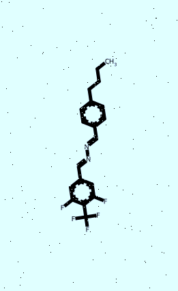 CCCCc1ccc(C=NN=Cc2cc(F)c(C(F)(F)F)c(F)c2)cc1